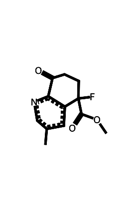 COC(=O)C1(F)CCC(=O)c2ncc(C)cc21